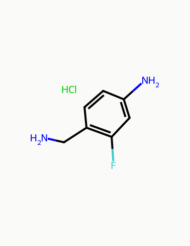 Cl.NCc1ccc(N)cc1F